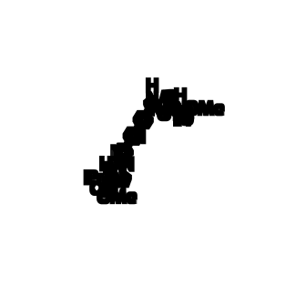 COC(=O)N[C@H](C(=O)N1CCC[C@H]1c1nc(-c2ccc(-c3ccc(-c4cnc5[nH]c([C@@H]6CCCN6C(=O)[C@@H](NC(=O)OC)C(C)C)nc5c4)cn3)cc2)c[nH]1)C(C)C